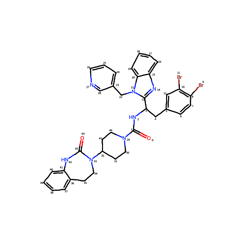 O=C(NC(Cc1ccc(Br)c(Br)c1)c1nc2ccccc2n1Cc1cccnc1)N1CCC(N2CCc3ccccc3NC2=O)CC1